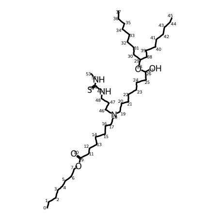 CCCCCCCCOC(=O)CCCCCCCN(CCCCCCCC(O)OC(CCCCCCCC)CCCCCCCC)CCCNC(=S)NC